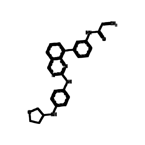 C=CC(=O)Nc1cccc(-c2cccc3cnc(Nc4ccc(NC5CCOC5)cc4)nc23)c1